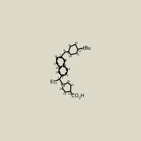 CCC(c1ccc2cc(CC3CCC(C(C)(C)C)CC3)ccc2c1)N1CCC(C(=O)O)CC1